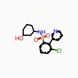 O=S(=O)(NC1CCCC(O)C1)c1cccc(Cl)c1-c1cccnc1